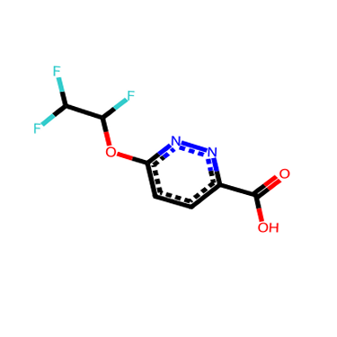 O=C(O)c1ccc(OC(F)C(F)F)nn1